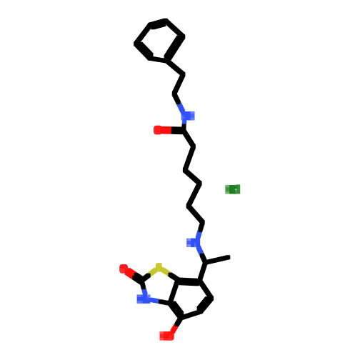 CC(NCCCCCC(=O)NCCc1ccccc1)c1ccc(O)c2[nH]c(=O)sc12.Cl